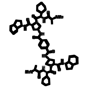 CN[C@@H](C)C(=O)N[C@H](C(=O)N1C[C@@H](NC(=O)c2ccc(C(=O)N[C@H]3C[C@@H](C(=O)N[C@H]4CCC5C=CC=CC54)N(C(=O)[C@@H](NC(=O)[C@H](C)NC)C4CCCCC4)C3)cc2)C[C@H]1C(=O)N[C@H]1CCC2C=CC=CC21)C1CCCCC1